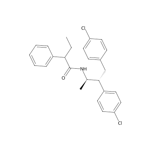 CCC(C(=O)N[C@H](C)[C@H](Cc1ccc(Cl)cc1)c1ccc(Cl)cc1)c1ccccc1